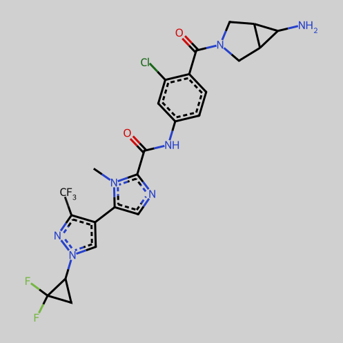 Cn1c(-c2cn(C3CC3(F)F)nc2C(F)(F)F)cnc1C(=O)Nc1ccc(C(=O)N2CC3C(N)C3C2)c(Cl)c1